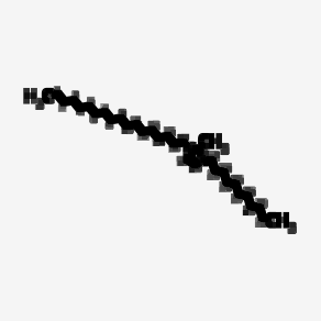 CCCCCCCCCCCCCCCCCCN1C=CN(CCCCCCCCCCC)C1C